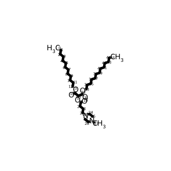 CCCCCCCCCCCCCOC(=O)C(OC(=O)CCCN1CCN(C)CC1)C(=O)OCCCCCCCCCCCCC